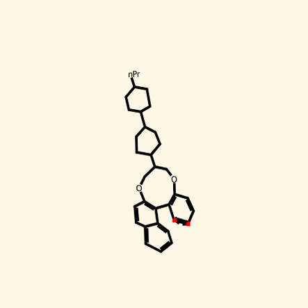 CCCC1CCC(C2CCC(C3COc4ccc5ccccc5c4-c4c(ccc5ccccc45)OC3)CC2)CC1